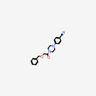 N#Cc1ccc(N2CCN(C(=O)COCc3ccccc3)CC2)cc1